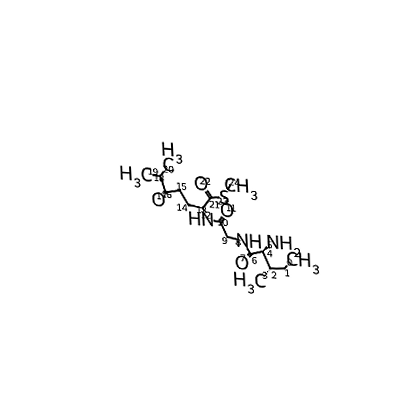 CC[C@H](C)[C@H](N)C(=O)NCC(=O)N[C@@H](CCC(=O)C(C)C)C(=O)SC